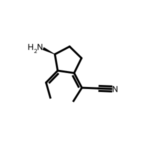 C/C=C1\C(=C(/C)C#N)CC[C@@H]1N